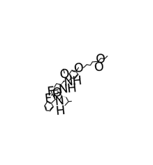 CCOC(=O)CCCCOc1ccc(NC[C@H](CC)NC(=O)[C@H](CC(C)C)N[C@@H](c2ccccc2)C(F)(F)F)c(OC)c1